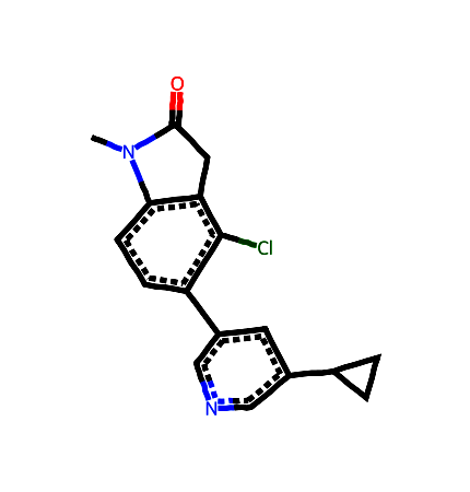 CN1C(=O)Cc2c1ccc(-c1cncc(C3CC3)c1)c2Cl